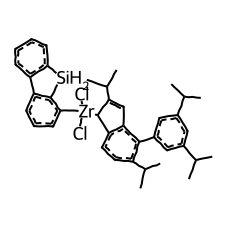 CC(C)C1=Cc2c(ccc(C(C)C)c2-c2cc(C(C)C)cc(C(C)C)c2)[CH]1[Zr]([Cl])([Cl])[c]1cccc2c1[SiH2]c1ccccc1-2